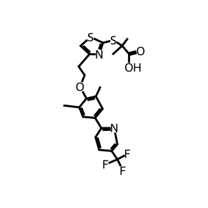 Cc1cc(-c2ccc(C(F)(F)F)cn2)cc(C)c1OCCc1csc(SC(C)(C)C(=O)O)n1